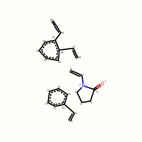 C=CN1CCCC1=O.C=Cc1ccccc1.C=Cc1ccccc1C=C